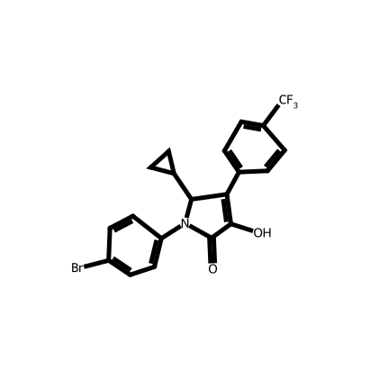 O=C1C(O)=C(c2ccc(C(F)(F)F)cc2)C(C2CC2)N1c1ccc(Br)cc1